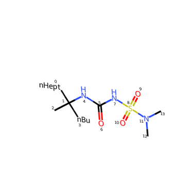 CCCCCCCC(C)(CCCC)NC(=O)NS(=O)(=O)N(C)C